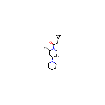 CCC(CC(CC)N(C)C(=O)CC1CC1)N1CCCCC1